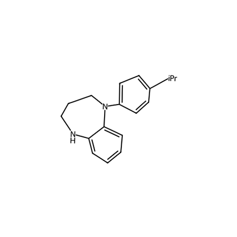 CC(C)c1ccc(N2CCCNc3ccccc32)cc1